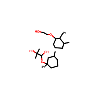 CC(C)C1C(C)CCCC1OCCO.CC1CCCC(OC(O)C(C)(C)O)(C(C)C)C1